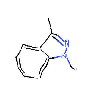 [CH2]n1nc(C)c2ccccc21